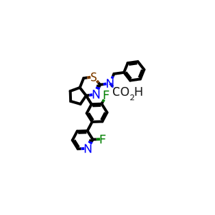 O=C(O)N(Cc1ccccc1)C1=NC2(c3cc(-c4cccnc4F)ccc3F)CCCC2CS1